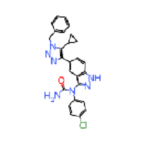 NC(=O)N(c1ccc(Cl)cc1)c1n[nH]c2ccc(-c3nnn(Cc4ccccc4)c3C3CC3)cc12